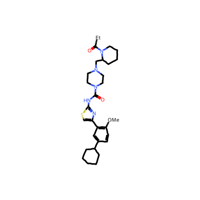 CCC(=O)N1CCCCC1CN1CCN(C(=O)Nc2nc(-c3cc(C4CCCCC4)ccc3OC)cs2)CC1